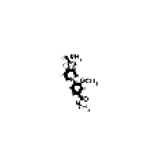 COC(=O)c1ccc(N2CCC(OS(C)(=O)=O)CC2)c(OC)c1